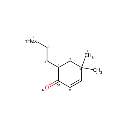 CCCCCCCCC1CC(C)(C)C=CC1=O